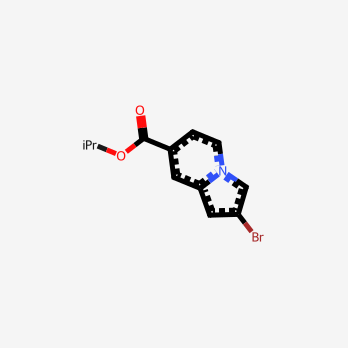 CC(C)OC(=O)c1ccn2cc(Br)cc2c1